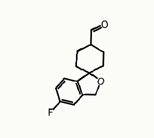 O=CC1CCC2(CC1)OCc1cc(F)ccc12